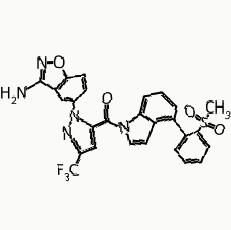 CS(=O)(=O)c1ccccc1-c1cccc2c1ccn2C(=O)c1cc(C(F)(F)F)nn1-c1ccc2onc(N)c2c1